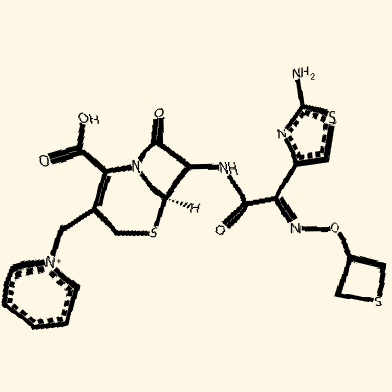 Nc1nc(/C(=N\OC2CSC2)C(=O)NC2C(=O)N3C(C(=O)O)=C(C[n+]4ccccc4)CS[C@H]23)cs1